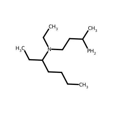 CCCCC(CC)N(CC)CCC(C)P